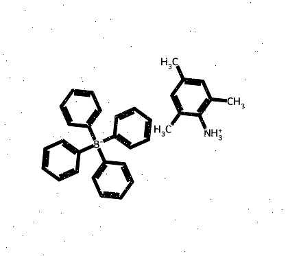 Cc1cc(C)c([NH3+])c(C)c1.c1ccc([B-](c2ccccc2)(c2ccccc2)c2ccccc2)cc1